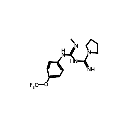 C/N=C(/NC(=N)N1CCCC1)Nc1ccc(OC(F)(F)F)cc1